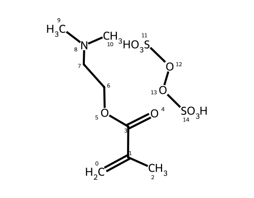 C=C(C)C(=O)OCCN(C)C.O=S(=O)(O)OOS(=O)(=O)O